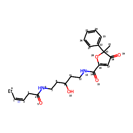 CC/C=C\CC(=O)NCCC(O)CCNC(=O)C1=CC(=O)C(C)(c2ccccc2)O1